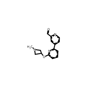 CN1CC(Oc2cccc(-c3ccnc(C=O)c3)n2)C1